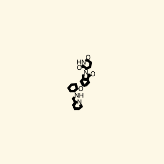 O=C1CCC(N2Cc3cc(O[C@H]4CCCC[C@H]4NCc4ccccn4)ccc3C2=O)C(=O)N1